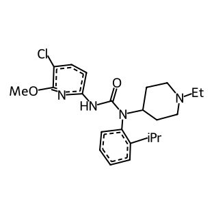 CCN1CCC(N(C(=O)Nc2ccc(Cl)c(OC)n2)c2ccccc2C(C)C)CC1